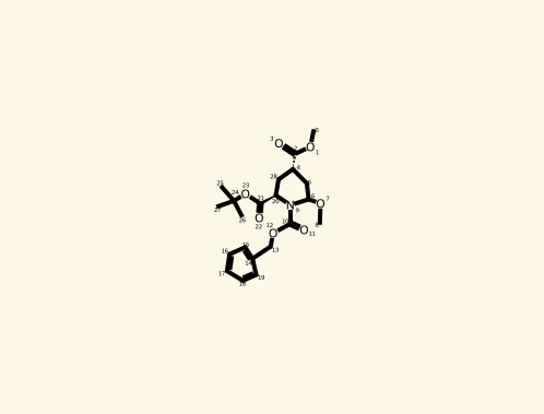 COC(=O)[C@@H]1CC(OC)N(C(=O)OCc2ccccc2)[C@@H](C(=O)OC(C)(C)C)C1